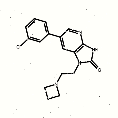 O=c1[nH]c2ncc(-c3cccc(Cl)c3)cc2n1CCN1CCC1